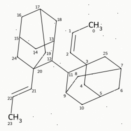 CC=CC12CC3CC(CC(C3)C1C1C3CC4CC(C3)CC1(C=CC)C4)C2